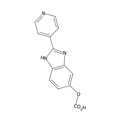 O=C(O)Oc1ccc2[nH]c(-c3ccncc3)nc2c1